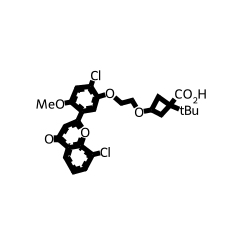 COc1cc(Cl)c(OCCOC2CC(C(=O)O)(C(C)(C)C)C2)cc1-c1cc(=O)c2cccc(Cl)c2o1